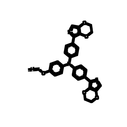 CCCCCCOc1ccc(N(c2ccc(-c3scc4c3OCCO4)cc2)c2ccc(-c3scc4c3OCCO4)cc2)cc1